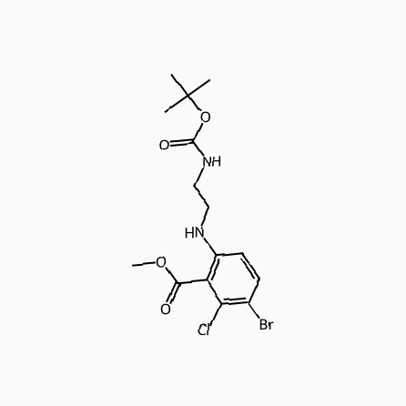 COC(=O)c1c(NCCNC(=O)OC(C)(C)C)ccc(Br)c1Cl